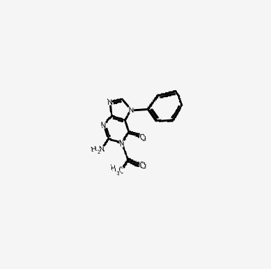 CC(=O)n1c(N)nc2ncn(-c3ccccc3)c2c1=O